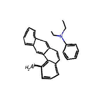 CCN(CC)c1ccccc1.[AlH2][c]1cccc2ccc3cc4ccccc4cc3c12